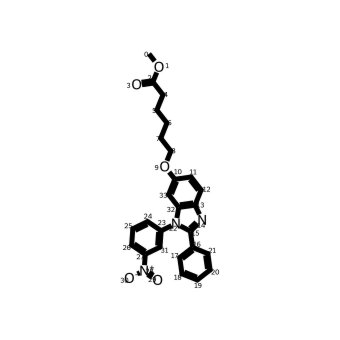 COC(=O)CCCCCOc1ccc2nc(-c3ccccc3)n(-c3cccc([N+](=O)[O-])c3)c2c1